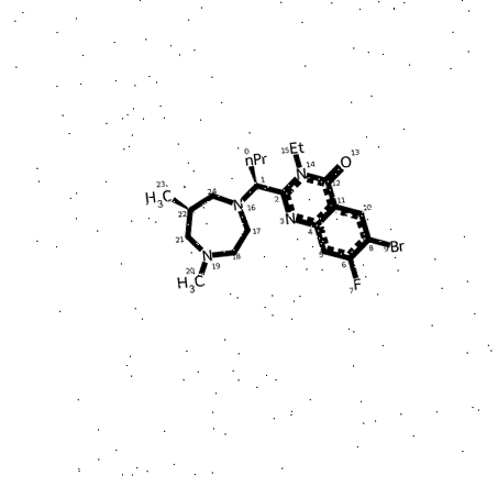 CCC[C@@H](c1nc2cc(F)c(Br)cc2c(=O)n1CC)N1CCN(C)C[C@@H](C)C1